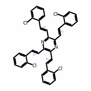 Clc1ccccc1/C=C/c1nc(/C=C/c2ccccc2Cl)c(/C=C/c2ccccc2Cl)nc1/C=C/c1ccccc1Cl